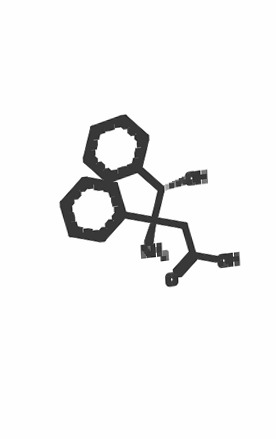 N[C@@](CC(=O)O)(c1ccccc1)[C@@H](O)c1ccccc1